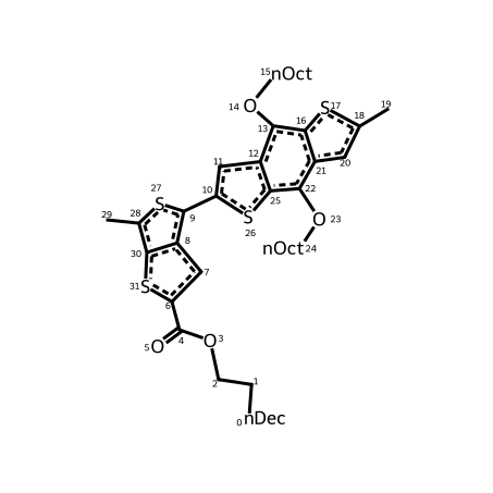 CCCCCCCCCCCCOC(=O)c1cc2c(-c3cc4c(OCCCCCCCC)c5sc(C)cc5c(OCCCCCCCC)c4s3)sc(C)c2s1